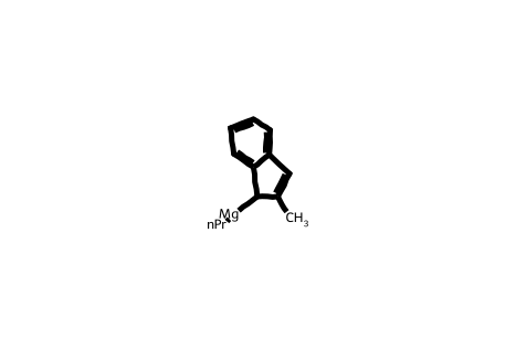 [CH2]C[CH2][Mg][CH]1C(C)=Cc2ccccc21